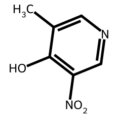 Cc1cncc([N+](=O)[O-])c1O